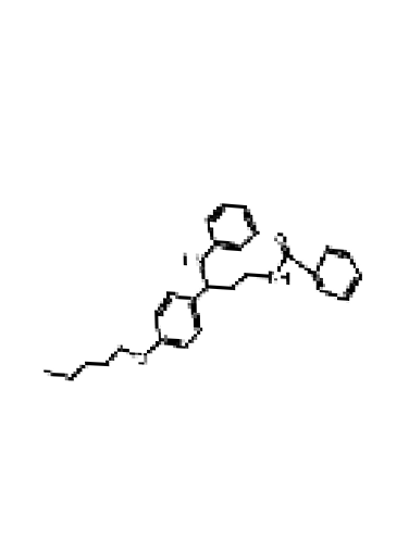 CCCCCOc1ccc(C(CCNC(=O)c2ccccc2)Nc2ccccc2)cc1